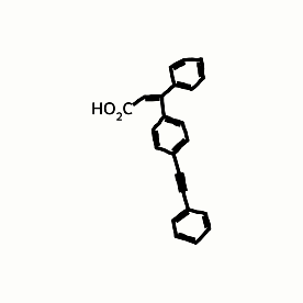 O=C(O)C=C(c1ccccc1)c1ccc(C#Cc2ccccc2)cc1